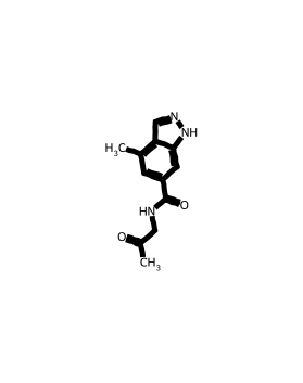 CC(=O)CNC(=O)c1cc(C)c2cn[nH]c2c1